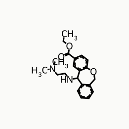 CCOC(=O)c1ccc2c(c1)C(NCCN(C)C)c1ccccc1CO2